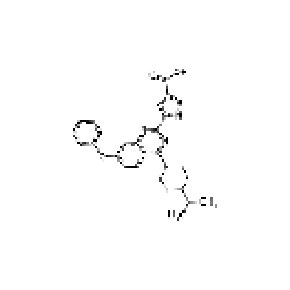 CC(C)C1CCN(c2nc(-n3cc(C(=O)O)cn3)nc3cc(Oc4ccccc4)ccc23)CC1